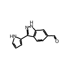 O=Cc1ccc2c(-c3ccc[nH]3)n[nH]c2c1